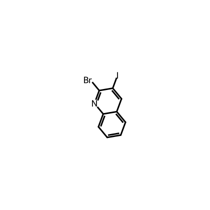 Brc1nc2ccccc2cc1I